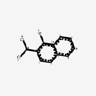 [O]c1c(C(Cl)Cl)ccc2ccccc12